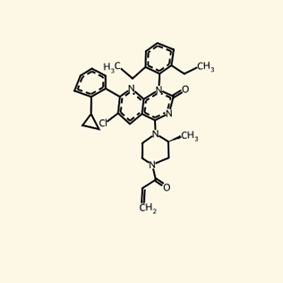 C=CC(=O)N1CCN(c2nc(=O)n(-c3c(CC)cccc3CC)c3nc(-c4ccccc4C4CC4)c(Cl)cc23)[C@@H](C)C1